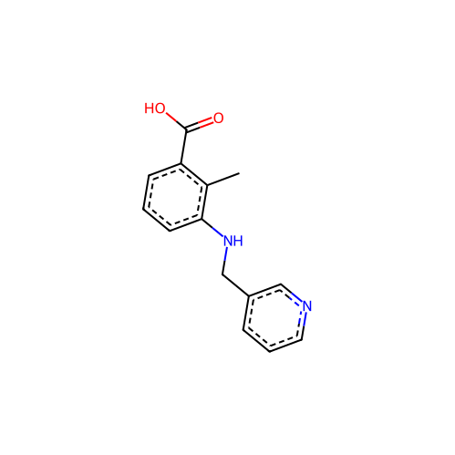 Cc1c(NCc2cccnc2)cccc1C(=O)O